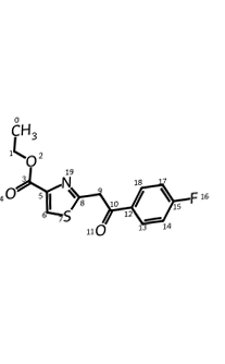 CCOC(=O)c1csc(CC(=O)c2ccc(F)cc2)n1